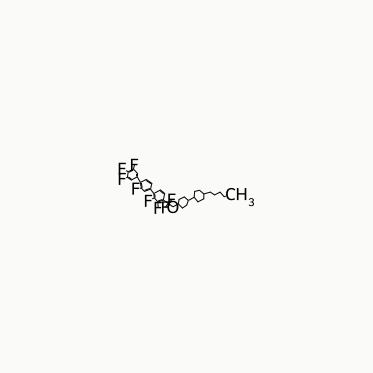 CCCCCC1CCC(C2CCC(OC(F)(F)c3ccc(-c4ccc(-c5cc(F)c(F)c(F)c5)c(F)c4)c(F)c3F)CC2)CC1